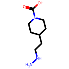 NNCCC1CCN(C(=O)O)CC1